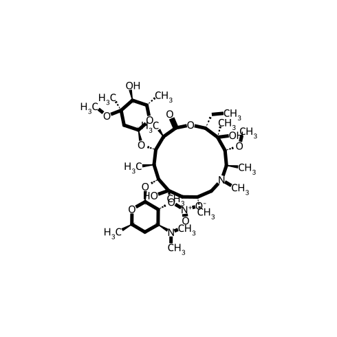 CC[C@H]1OC(=O)[C@H](C)[C@@H](O[C@H]2C[C@@](C)(OC)[C@@H](O)[C@H](C)O2)[C@H](C)[C@@H](O[C@@H]2O[C@H](C)C[C@H](N(C)C)[C@H]2O[N+](=O)[O-])[C@](C)(O)C[C@@H](C)CN(C)[C@H](C)[C@@H](OC)[C@]1(C)O